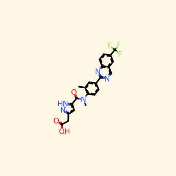 Cc1cc(-c2ncc3cc(C(F)(F)F)ccc3n2)ccc1N(C)C(=O)c1cc(CC(=O)O)n[nH]1